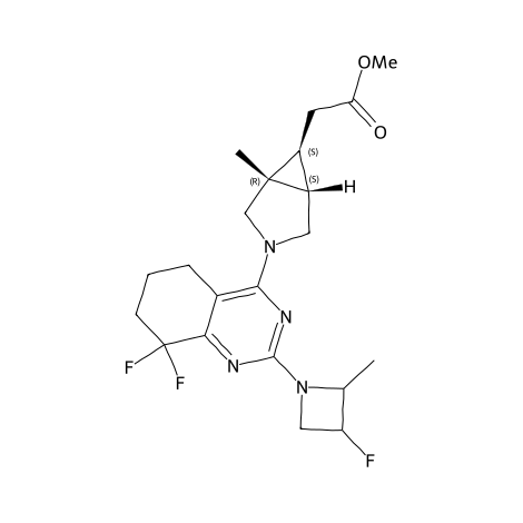 COC(=O)C[C@H]1[C@@H]2CN(c3nc(N4CC(F)C4C)nc4c3CCCC4(F)F)C[C@]12C